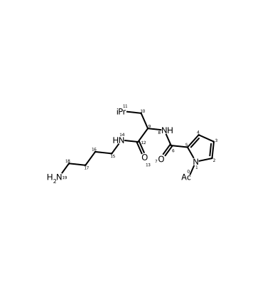 CC(=O)n1cccc1C(=O)NC(CC(C)C)C(=O)NCCCCN